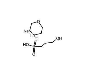 C1COCCN1.O=S(=O)(O)CCCO.[NaH]